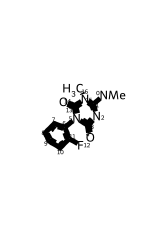 CNc1nc(=O)n(-c2ccccc2F)c(=O)n1C